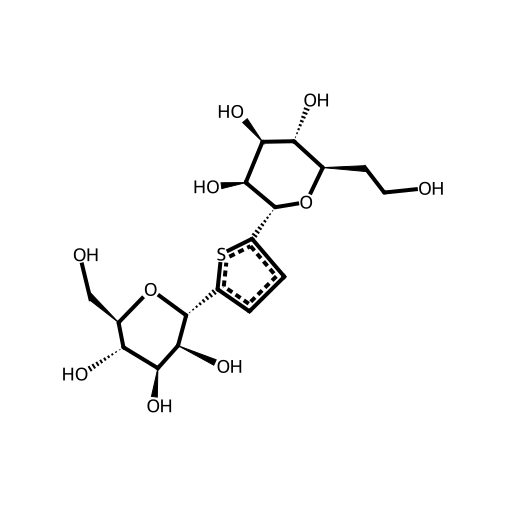 OCC[C@H]1O[C@H](c2ccc([C@H]3O[C@H](CO)[C@@H](O)[C@H](O)[C@@H]3O)s2)[C@@H](O)[C@@H](O)[C@@H]1O